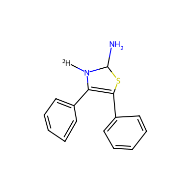 [2H]N1C(c2ccccc2)=C(c2ccccc2)SC1N